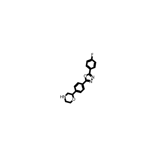 Fc1ccc(-c2nnc(-c3ccc(C4CNCCO4)cc3)o2)cc1